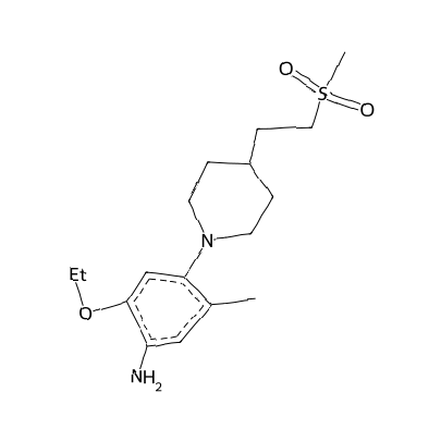 CCOc1cc(N2CCC(CCS(C)(=O)=O)CC2)c(C)cc1N